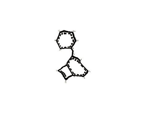 C1=Cc2c1cccc2-c1ccccc1